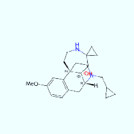 COc1ccc2c(c1)[C@@]13CCNC4(CC4)C[C@@]1(O)[C@@H](C2)N(CC1CC1)CC3